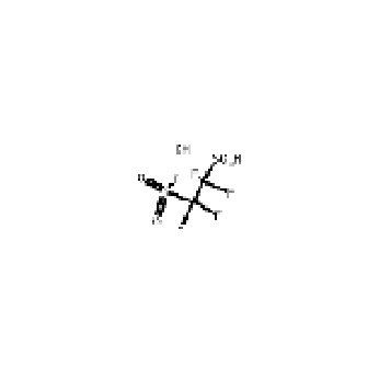 O=S(=O)(O)C(F)(F)C(F)(F)S(=O)(=O)F.[KH]